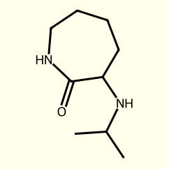 CC(C)NC1CCCCNC1=O